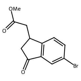 COC(=O)CC1CC(=O)c2cc(Br)ccc21